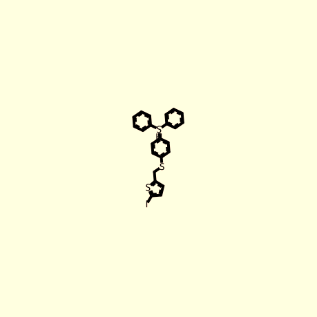 Ic1ccc(CSc2ccc([SH](c3ccccc3)c3ccccc3)cc2)s1